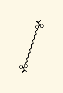 C=C(C)C(=O)OCCCCCCCCCCCCCCCCOC(=O)C(=C)C